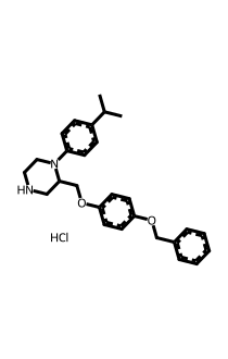 CC(C)c1ccc(N2CCNCC2COc2ccc(OCc3ccccc3)cc2)cc1.Cl